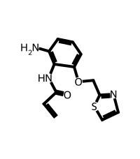 C=CC(=O)Nc1c(N)cccc1OCc1nccs1